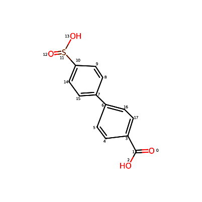 O=C(O)c1ccc(-c2ccc(S(=O)O)cc2)cc1